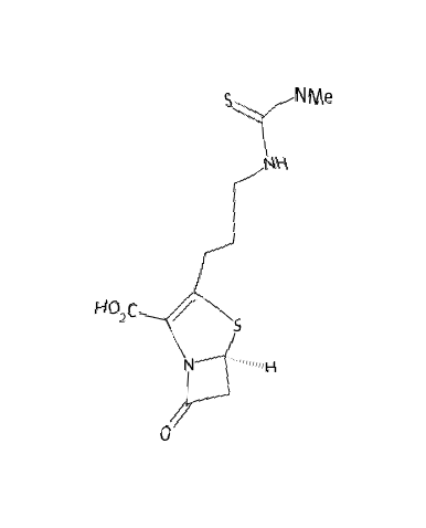 CNC(=S)NCCCC1=C(C(=O)O)N2C(=O)C[C@@H]2S1